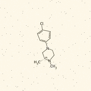 C[C@@H]1CN(c2ccc(Cl)cc2)CCN1C